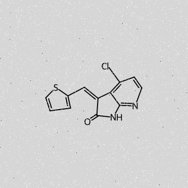 O=C1Nc2nccc(Cl)c2/C1=C/c1cccs1